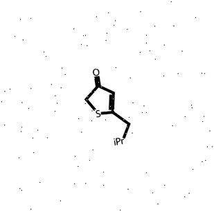 CC(C)CC1=CC(=O)CS1